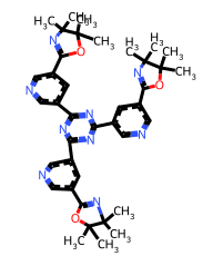 CC1(C)N=C(c2cncc(-c3nc(-c4cncc(C5=NC(C)(C)C(C)(C)O5)c4)nc(-c4cncc(C5=NC(C)(C)C(C)(C)O5)c4)n3)c2)OC1(C)C